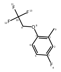 Cc1cc(F)ccc1OCC(F)(F)F